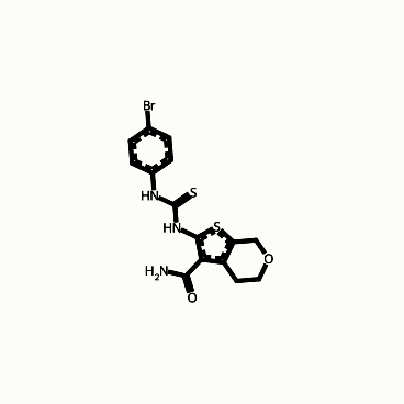 NC(=O)c1c(NC(=S)Nc2ccc(Br)cc2)sc2c1CCOC2